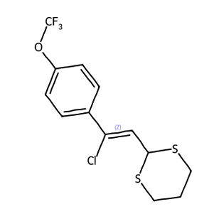 FC(F)(F)Oc1ccc(/C(Cl)=C/C2SCCCS2)cc1